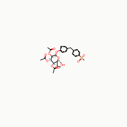 CC(=O)O[C@@H]1[C@@H](OC(C)=O)[C@@H](Oc2ccc(Cc3ccc(S(C)(=O)=O)cc3)cc2)O[C@@](CO)(C(C)=O)[C@H]1OC(C)=O